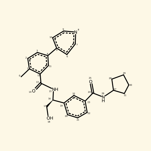 Cc1ccc(-c2ccncc2)cc1C(=O)N[C@H](CO)c1cccc(C(=O)NC2CCCC2)c1